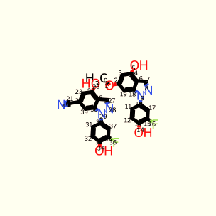 COc1cc(O)c2cnn(-c3ccc(O)c(F)c3)c2c1.N#Cc1cc(O)c2cnn(-c3ccc(O)c(F)c3)c2c1